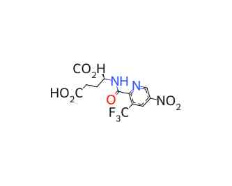 O=C(O)CC[C@H](NC(=O)c1ncc([N+](=O)[O-])cc1C(F)(F)F)C(=O)O